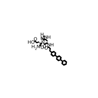 NC(=O)[C@H](CCC(=O)O)NC(=O)[C@H](CC1=CNCN1)NC(=O)CCc1ccc(-c2ccc(-c3ccccc3)cc2)cc1